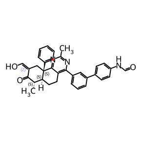 Cc1nc(-c2cccc(-c3ccc(NC=O)cc3)c2)c2c(n1)[C@@]1(c3ccccc3)C/C(=C/O)C(=O)[C@@H](C)[C@@H]1CC2